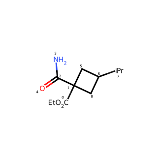 CCOC(=O)C1(C(N)=O)CC(C(C)C)C1